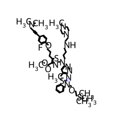 COC(=O)c1nc(N(CCCCNCCN2CCN(C)CC2)c2cc(C)c(/N=c3\sc4ccccc4n3COCC[Si](C)(C)C)nn2)sc1CCCOc1ccc(C#CCN(C)C)cc1F